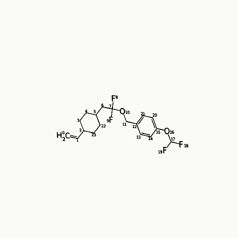 C=CC1CCC(CC(F)(F)OCc2ccc(OC(F)F)cc2)CC1